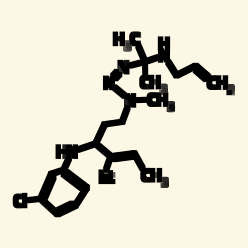 C=CCNC(C)(C)/N=N\N(C)CCC(Nc1cccc(Cl)c1)/C(=C/C)CC